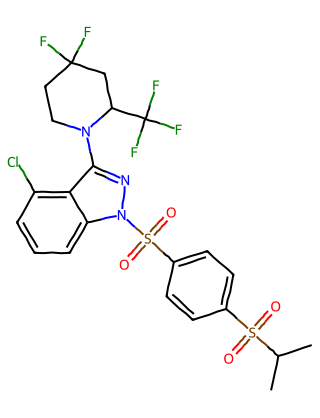 CC(C)S(=O)(=O)c1ccc(S(=O)(=O)n2nc(N3CCC(F)(F)CC3C(F)(F)F)c3c(Cl)cccc32)cc1